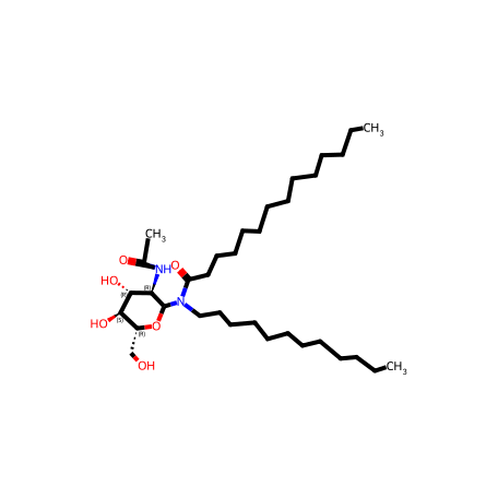 CCCCCCCCCCCCCC(=O)N(CCCCCCCCCCCC)C1O[C@H](CO)[C@@H](O)[C@H](O)[C@H]1NC(C)=O